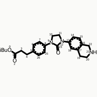 CC(C)COC(=O)CCc1ccc(N2CCN(c3ccc4c(c3)CCNC4)C2=O)cc1